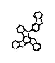 c1ccc2c(c1)sc1ccc(-n3c4ccccc4c4c5c6cccnc6sc5c5c6ccccc6sc5c43)cc12